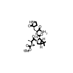 C[C@@H](C(=O)N1C[C@H]2[C@@H]([C@H]1C(=O)N[C@@H](C[C@@H]1CCNC1=O)C(N)=O)C2(C)C)N(C)C(=O)OC(C)(C)C